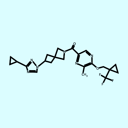 Cc1nc(C(=O)N2CC3(CC(n4cnc(C5CC5)n4)C3)C2)cnc1OCC1(C(F)(F)F)CC1